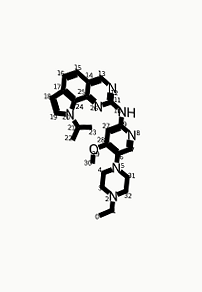 CCN1CCN(c2cnc(Nc3ncc4ccc5ccn(C(C)C)c5c4n3)cc2OC)CC1